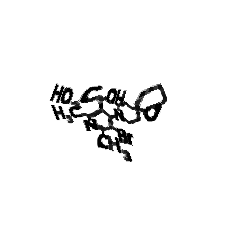 Cc1nc(C)c(C(O)C(=O)O)c(N2CCC3(CCCO3)CC2)c1Br